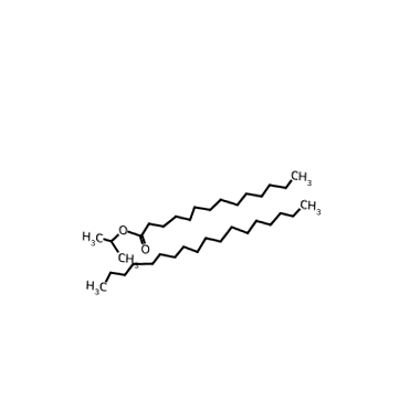 CCCCCCCCCCCCCC(=O)OC(C)C.CCCCCCCCCCCCCCCCCC